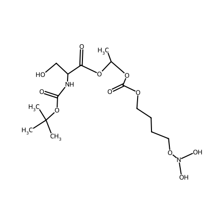 CC(OC(=O)OCCCCON(O)O)OC(=O)C(CO)NC(=O)OC(C)(C)C